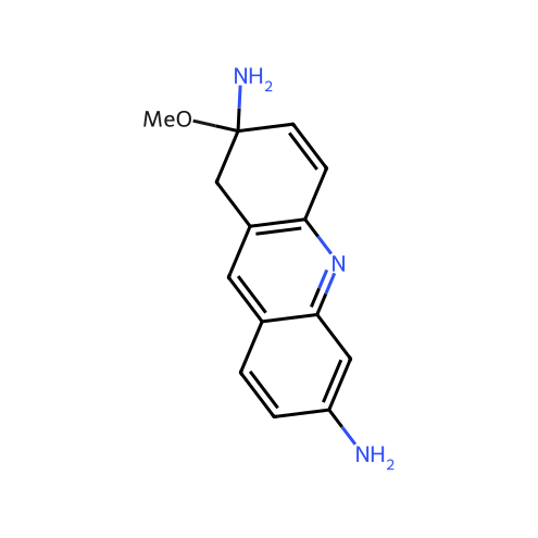 COC1(N)C=Cc2nc3cc(N)ccc3cc2C1